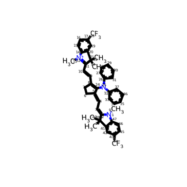 CN1C(=CC=C2CCC(C=CC3=[N+](C)c4ccc(C(F)(F)F)cc4C3(C)C)=C2N(c2ccccc2)c2ccccc2)C(C)(C)c2cc(C(F)(F)F)ccc21